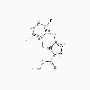 CCOC(=O)c1nnc(Cc2c(F)ccc(F)c2F)[nH]1